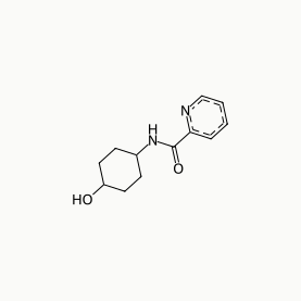 O=C(NC1CCC(O)CC1)c1ccccn1